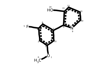 COc1cc(F)cc(-c2ncccc2O)c1